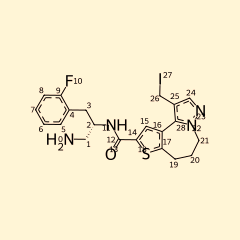 NC[C@H](Cc1ccccc1F)NC(=O)c1cc2c(s1)CCCn1ncc(CI)c1-2